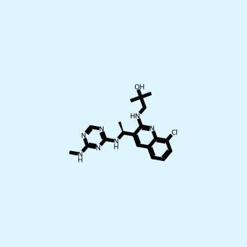 CNc1ncnc(N[C@@H](C)c2cc3cccc(Cl)c3nc2NCC(C)(C)O)n1